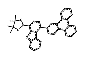 CC1(C)OB(c2ccc(-c3ccc4c5ccccc5c5ccccc5c4c3)c3c2oc2ccccc23)OC1(C)C